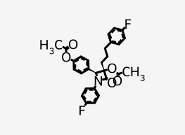 CC(=O)Oc1ccc([C@@H]2N(c3ccc(F)cc3)C(=O)[C@@]2(CCCc2ccc(F)cc2)OC(C)=O)cc1